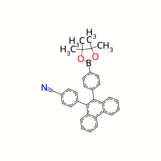 CC1(C)OB(c2ccc(-c3c(-c4ccc(C#N)cc4)c4ccccc4c4ccccc34)cc2)OC1(C)C